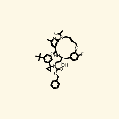 CC(=O)N1C/C=C/COc2cc(ccc2F)C[C@@H]([C@H](O)CN(C(=O)OCc2ccccc2)C2(c3cccc(C(C)(C)C)c3)CC2)NC(=O)c2cc(C)nc1c2